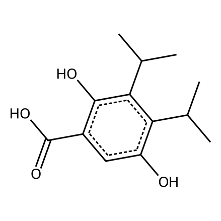 CC(C)c1c(O)cc(C(=O)O)c(O)c1C(C)C